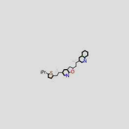 CC(C)c1ccc(C[C@H](C)c2cnc3c(c2)CC(C[C@H](C)c2cnc4ccccc4c2)O3)s1